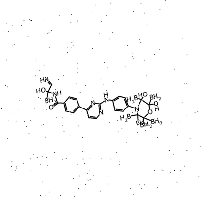 BC(O)(C=N)NC(=O)c1ccc(-c2ccnc(Nc3ccc(N4C(B)(B)C(B)(B)OC(B)(O)C4(B)O)cc3)n2)cc1